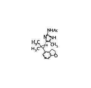 CC(=O)Nc1nc([C@@H]2C(c3cccc4c3CCO4)C2(C)C)c(C)[nH]1